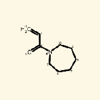 C=CC(=O)N1C[CH]CCCC1